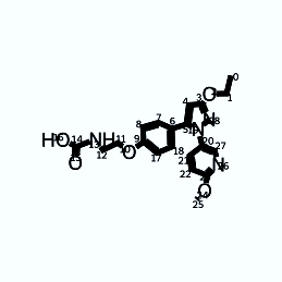 CCOc1cc(-c2ccc(OCCNC(=O)O)cc2)n(-c2ccc(OC)nc2)n1